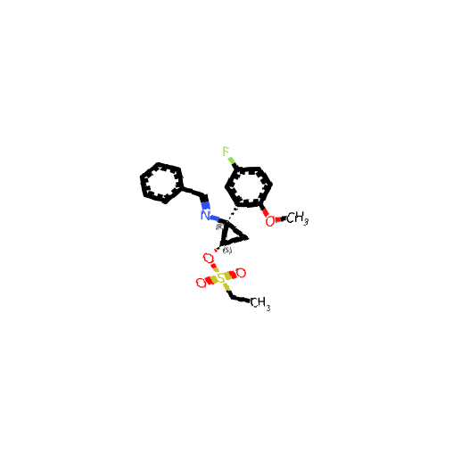 CCS(=O)(=O)O[C@H]1C[C@@]1(N=Cc1ccccc1)c1cc(F)ccc1OC